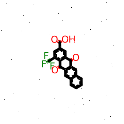 O=C(O)c1cc2c(c(C(F)(F)F)c1)C(=O)c1cc3ccccc3cc1C2=O